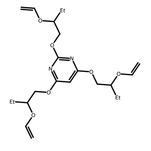 C=COC(CC)COc1cc(OCC(CC)OC=C)nc(OCC(CC)OC=C)n1